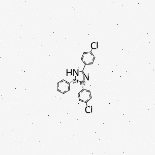 Clc1ccc(C2=N[C@H](c3ccc(Cl)cc3)[C@H](c3ccccc3)N2)cc1